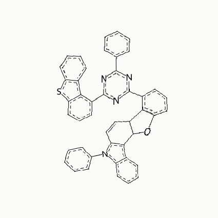 C1=CC2c3c(cccc3-c3nc(-c4ccccc4)nc(-c4cccc5sc6ccccc6c45)n3)OC2c2c1n(-c1ccccc1)c1ccccc21